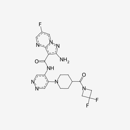 Nc1nn2cc(F)cnc2c1C(=O)Nc1cnncc1N1CCC(C(=O)N2CC(F)(F)C2)CC1